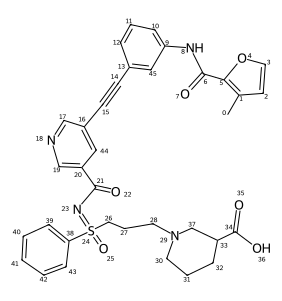 Cc1ccoc1C(=O)Nc1cccc(C#Cc2cncc(C(=O)N=S(=O)(CCCN3CCCC(C(=O)O)C3)c3ccccc3)c2)c1